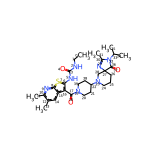 CCNC(=O)Nc1sc2nc(C)c(C)cc2c1C(=O)N1CCC(N2CCCC3(C2)N=C(C)N(C(C)C)C3=O)CC1